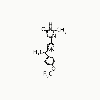 Cc1nc(-c2cnn(C(C)c3ccc(OC(F)(F)F)cc3)c2)cc(=O)[nH]1